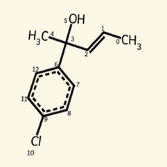 CC=CC(C)(O)c1ccc(Cl)cc1